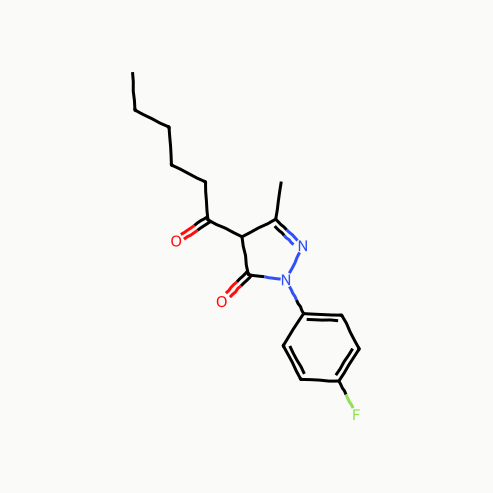 CCCCCC(=O)C1C(=O)N(c2ccc(F)cc2)N=C1C